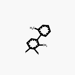 Cc1ccccc1-c1ccc(I)c(I)c1C